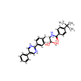 CC(C)(C)c1ccc(C(=O)N[C@@H](Cc2ccc(-c3ncc(-c4ccccc4)cn3)cc2)C(O)O)cc1